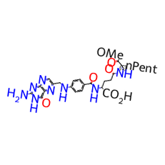 CCCCC[C@H](NC(=O)CCC(NC(=O)c1ccc(NCc2cnc3nc(N)[nH]c(=O)c3n2)cc1)C(=O)O)C(=O)OC